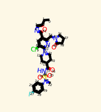 CCc1cnc(-c2cc(Cl)c(N3CCC(C(=O)NS(=O)(=O)N(C)c4ccc(F)cc4)CC3)nc2CN2CCCC2=O)o1